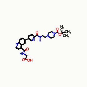 CC(C)(C)OC(=O)N1CCN(CCNC(=O)c2ccc(-c3ccc4nccc(C(=O)NCC(=O)O)c4c3)cn2)CC1